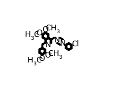 COc1ccc(Cc2ncc(CN3CCN(c4cccc(Cl)c4)CC3)c3cc(OC)c(OC)cc23)cc1OC